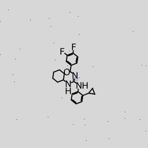 O=C(/N=C(/Nc1ccccc1C1CC1)NC1CCCCC1)c1ccc(F)c(F)c1